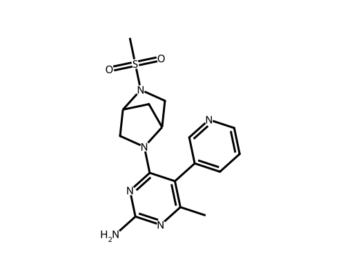 Cc1nc(N)nc(N2CC3CC2CN3S(C)(=O)=O)c1-c1cccnc1